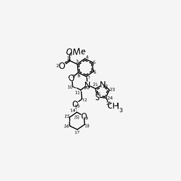 COC(=O)c1cccc2c1OCC(CO[C@H]1CCCCO1)N2c1ncc(C)s1